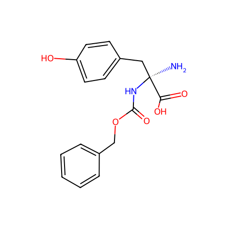 N[C@@](Cc1ccc(O)cc1)(NC(=O)OCc1ccccc1)C(=O)O